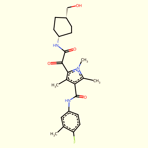 Cc1cc(NC(=O)c2c(C)c(C(=O)C(=O)N[C@H]3CC[C@@H](CO)CC3)n(C)c2C)ccc1F